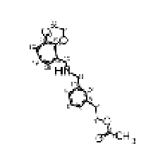 CC(=O)OCCc1cccc(CNCc2cccc3c2OCCO3)c1